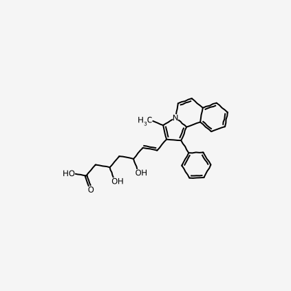 Cc1c(C=CC(O)CC(O)CC(=O)O)c(-c2ccccc2)c2c3ccccc3ccn12